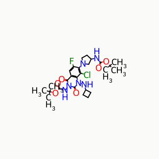 CC(C)(C)OC(=O)NC1CCN(c2c(F)cc3c(=O)n(NC(=O)OC(C)(C)C)c(=O)n(NC4CCC4)c3c2Cl)C1